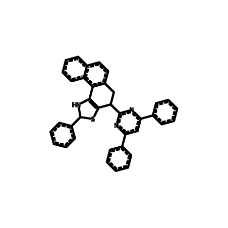 c1ccc(-c2cc(-c3ccccc3)nc(C3Cc4ccc5ccccc5c4C4=C3SC(c3ccccc3)N4)n2)cc1